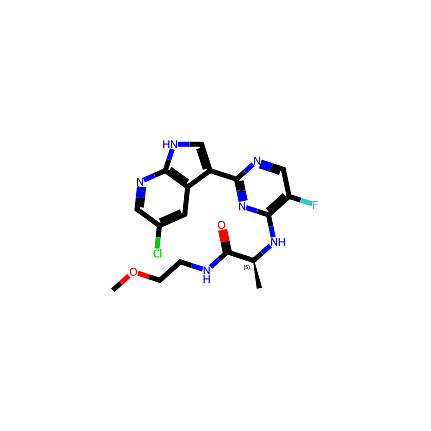 COCCNC(=O)[C@H](C)Nc1nc(-c2c[nH]c3ncc(Cl)cc23)ncc1F